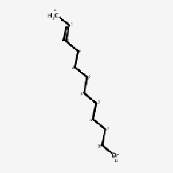 CC=CCCCCCCCCBr